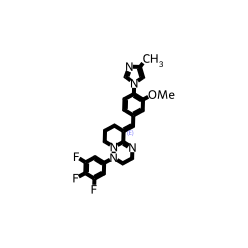 COc1cc(/C=C2\CCCN3C2=NCCN3c2cc(F)c(F)c(F)c2)ccc1-n1cnc(C)c1